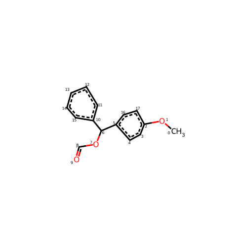 COc1ccc(C(O[C]=O)c2ccccc2)cc1